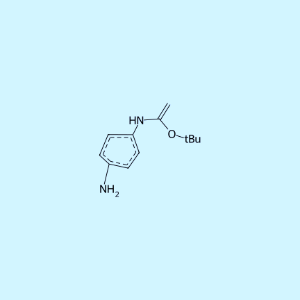 C=C(Nc1ccc(N)cc1)OC(C)(C)C